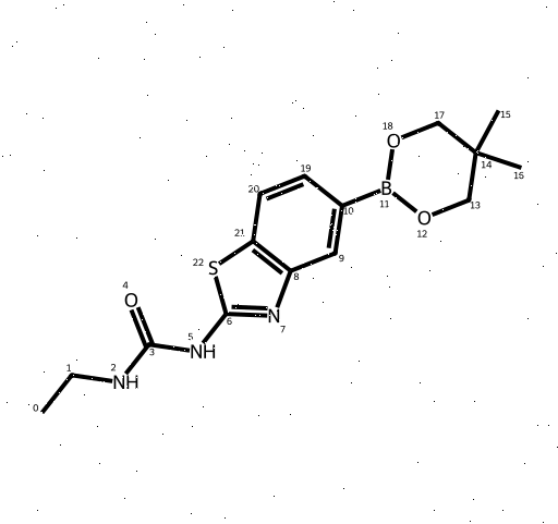 CCNC(=O)Nc1nc2cc(B3OCC(C)(C)CO3)ccc2s1